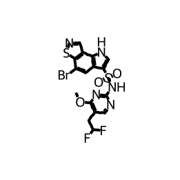 COc1nc(NS(=O)(=O)c2c[nH]c3c2cc(Br)c2sncc23)ncc1CC(F)F